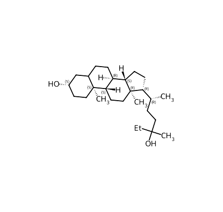 CCC(C)(O)CC[C@@H](C)[C@H]1CC[C@H]2[C@@H]3CCC4C[C@@H](O)CC[C@]4(C)[C@H]3CC[C@]12C